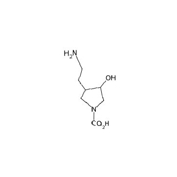 NCCC1CN(C(=O)O)CC1O